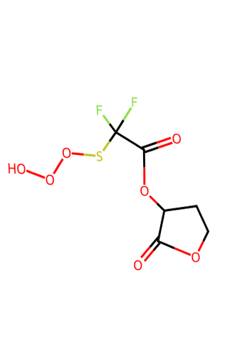 O=C1OCCC1OC(=O)C(F)(F)SOOO